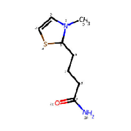 CN1C=CSC1CCCC(N)=O